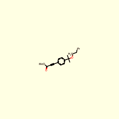 COC(=O)C#Cc1ccc(C(C)(C)O[SiH2]CC(C)C)cc1